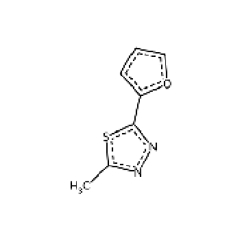 Cc1nnc(-c2ccco2)s1